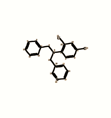 Clc1ccc(N(Cc2ccccc2)Cc2cccnc2)c(Cl)c1